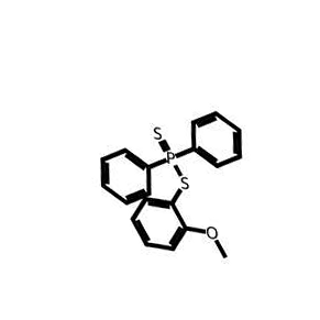 COc1ccccc1SP(=S)(c1ccccc1)c1ccccc1